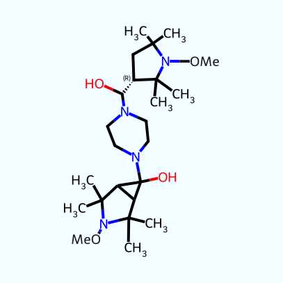 CON1C(C)(C)C2C(C1(C)C)C2(O)N1CCN(C(O)[C@@H]2CC(C)(C)N(OC)C2(C)C)CC1